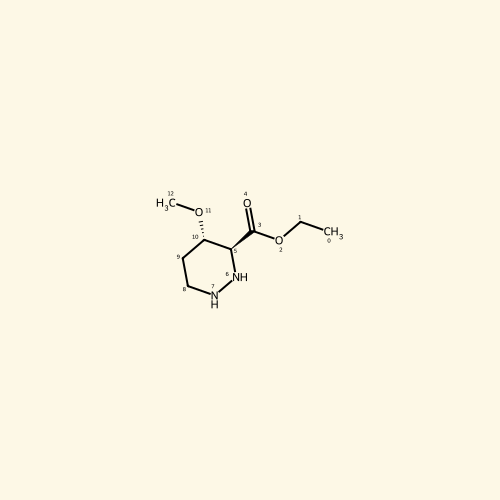 CCOC(=O)[C@H]1NNCC[C@@H]1OC